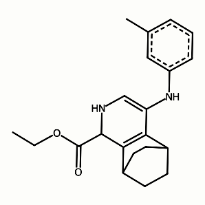 CCOC(=O)C1NC=C(Nc2cccc(C)c2)C2=C1C1CCC2CC1